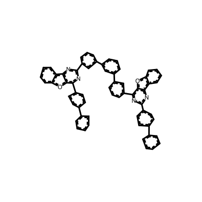 c1ccc(-c2ccc(-c3nc(-c4cccc(-c5cccc(-c6cccc(-c7nc(-c8ccc(-c9ccccc9)cc8)c8oc9ccccc9c8n7)c6)c5)c4)c4oc5ccccc5c4n3)cc2)cc1